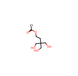 CCC(=O)OCCC(CO)(CO)CO